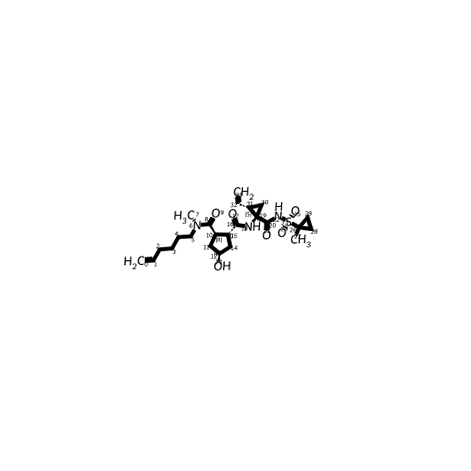 C=CCCCCN(C)C(=O)[C@@H]1C[C@H](O)C[C@H]1C(=O)N[C@]1(C(=O)NS(=O)(=O)C2(C)CC2)C[C@H]1C=C